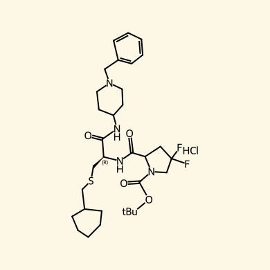 CC(C)(C)OC(=O)N1CC(F)(F)CC1C(=O)N[C@@H](CSCC1CCCCC1)C(=O)NC1CCN(Cc2ccccc2)CC1.Cl